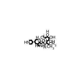 CSC1O[C@H]([C@H](NC(=O)[C@H]2NC[C@@H]3C[C@@H](C4CCNCC4)CCO[C@H]32)C(C)C)C(O)C(O)[C@H]1O